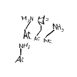 CC(N)=O.CC(N)=O.CC(N)=O.CC(N)=O